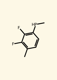 CPc1ccc(C)c(F)c1F